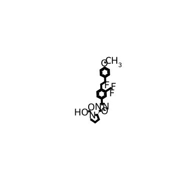 COc1ccc(CCc2ccc(-c3noc([C@@H]4CCCN4C(=O)O)n3)cc2C(F)(F)F)cc1